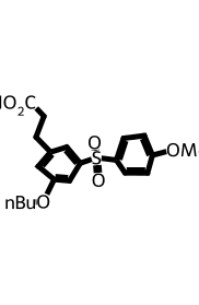 CCCCOc1cc(CCC(=O)O)cc(S(=O)(=O)c2ccc(OC)cc2)c1